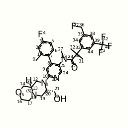 Cc1cc(F)ccc1-c1cc(N2C[C@H]3COCCN3C[C@H]2CO)ncc1N(C)C(=O)C(C)(C)c1cc(CF)cc(C(F)(F)F)c1